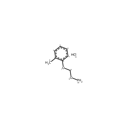 Cc1ccccc1OCOP.Cl